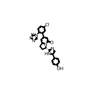 O=c1cc(-c2cc(Cl)ccc2-n2cnnn2)cc2n1[C@H](c1ncc(-c3ccc(O)cc3)[nH]1)CC2